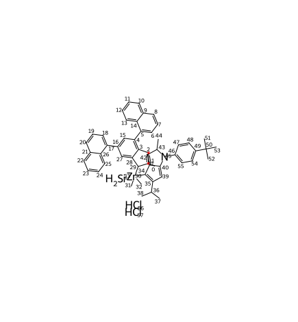 CC1=Cc2c(-c3cccc4ccccc34)cc(-c3cccc4ccccc34)cc2[CH]1[Zr]([CH3])([CH3])(=[SiH2])[C]1=C(C(C)C)C=C2C1=CC(C)N2c1ccc(C(C)(C)C)cc1.Cl.Cl